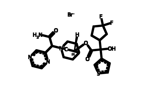 NC(=O)C(c1cnccn1)[N+]12CCC(CC1)[C@@H](OC(=O)C(O)(c1ccsc1)C1CCC(F)(F)C1)C2.[Br-]